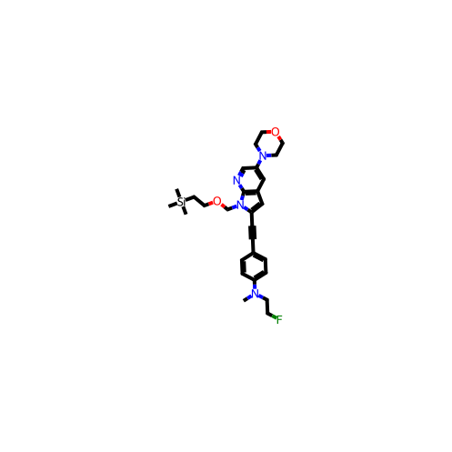 CN(CCF)c1ccc(C#Cc2cc3cc(N4CCOCC4)cnc3n2COCC[Si](C)(C)C)cc1